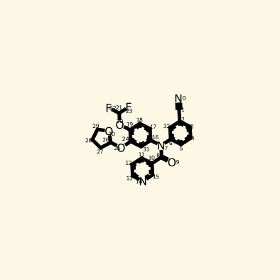 N#Cc1cccc(N(C(=O)c2cccnc2)c2ccc(OC(F)F)c(OC3CCCO3)c2)c1